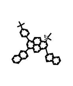 CC(C)(C)c1ccc(-c2cc(-c3ccc4ccccc4c3)c3ccc4c(-c5ccc6ccccc6c5)cc([Si](C)(C)C)c5ccc2c3c45)cc1